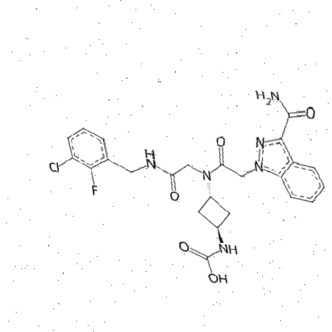 NC(=O)c1nn(CC(=O)N(CC(=O)NCc2cccc(Cl)c2F)[C@H]2C[C@H](NC(=O)O)C2)c2ccccc12